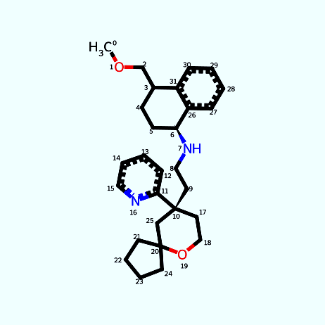 COCC1CC[C@H](NCC[C@@]2(c3ccccn3)CCOC3(CCCC3)C2)c2ccccc21